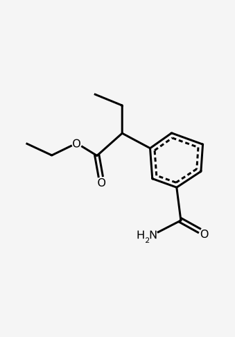 CCOC(=O)C(CC)c1cccc(C(N)=O)c1